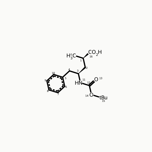 C[C@H](C[C@H](Cc1ccccc1)NC(=O)OC(C)(C)C)C(=O)O